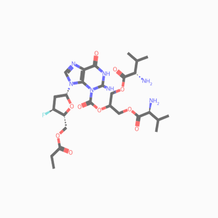 CCC(=O)OC[C@H]1O[C@@H](n2cnc3c2N(C(=O)OC(COC(=O)[C@@H](N)C(C)C)COC(=O)[C@@H](N)C(C)C)C(N)NC3=O)C[C@@H]1F